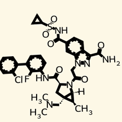 C[C@@H]1[C@@H]2N(C(=O)Cn3nc(C(N)=O)c4ccc(C(=O)NS(=O)(=O)C5CC5)cc43)[C@H](C(=O)Nc3cccc(-c4ccccc4Cl)c3F)C[C@]12CN(C)C